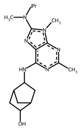 Cc1nc(NC2CC3CC2CC3O)c2nc(N(C)C(C)C)n(C)c2n1